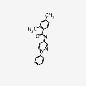 Cc1ccc(C(=O)/N=c2\ccn(-c3ccccc3)nc2)c(C)c1